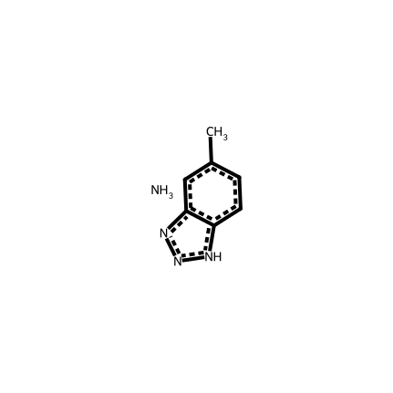 Cc1ccc2[nH]nnc2c1.N